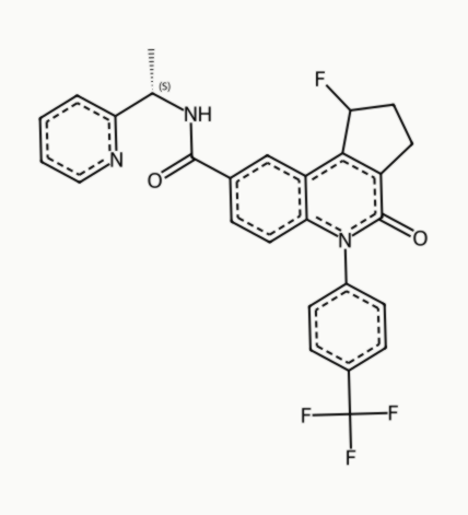 C[C@H](NC(=O)c1ccc2c(c1)c1c(c(=O)n2-c2ccc(C(F)(F)F)cc2)CCC1F)c1ccccn1